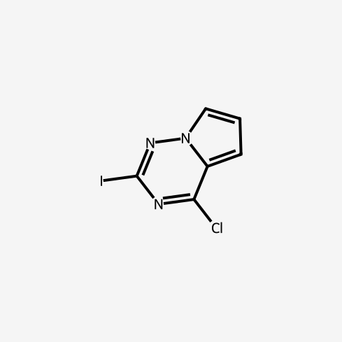 Clc1nc(I)nn2cccc12